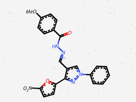 COc1ccc(C(=O)N/N=C/c2cn(-c3ccccc3)nc2-c2ccc([N+](=O)[O-])o2)cc1